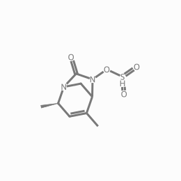 CC1=C[C@@H](C)N2CC1N(O[SH](=O)=O)C2=O